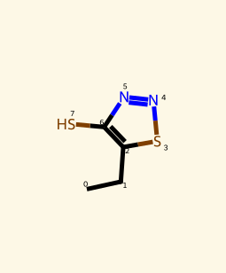 CCc1snnc1S